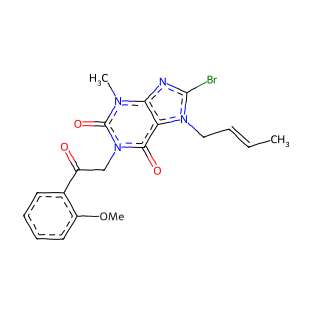 C/C=C/Cn1c(Br)nc2c1c(=O)n(CC(=O)c1ccccc1OC)c(=O)n2C